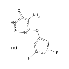 Cl.Nc1c(Oc2cc(F)cc(F)c2)nc[nH]c1=O